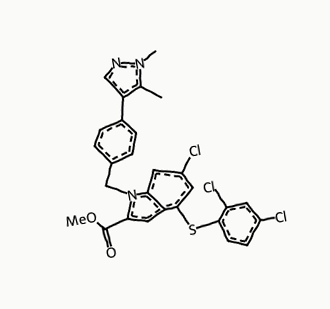 COC(=O)c1cc2c(Sc3ccc(Cl)cc3Cl)cc(Cl)cc2n1Cc1ccc(-c2cnn(C)c2C)cc1